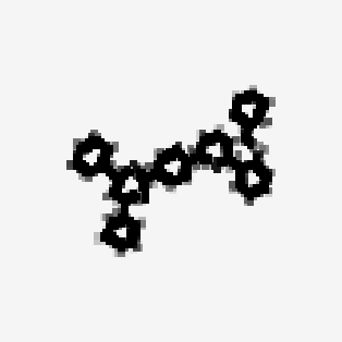 c1ccc(COc2ccccc2-c2cccc(-c3ccc(-c4nc(-c5ccccc5)cc(-c5ccccc5)n4)cc3)n2)cc1